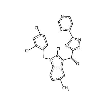 Cc1ccc2c(c1)c(C(=O)c1nc(-c3ccncn3)no1)c(Cl)n2Cc1ccc(Cl)cc1Cl